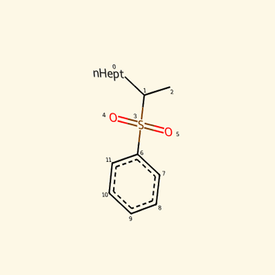 CCCCCCCC(C)S(=O)(=O)c1ccccc1